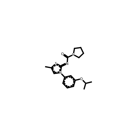 Cc1cn(-c2cccc(OC(C)C)c2)c(=NC(=O)N2CCCC2)s1